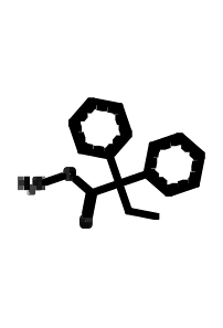 CCC(C(=O)O[SiH3])(c1ccccc1)c1ccccc1